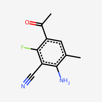 CC(=O)c1cc(C)c(N)c(C#N)c1F